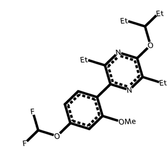 CCc1nc(-c2ccc(OC(F)F)cc2OC)c(CC)nc1OC(CC)CC